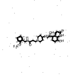 O=C(CCN1CCC(NC[C@@H](O)c2ccc(O)c3[nH]c(=O)ccc23)CC1)NCc1ccccc1OC(F)(F)F